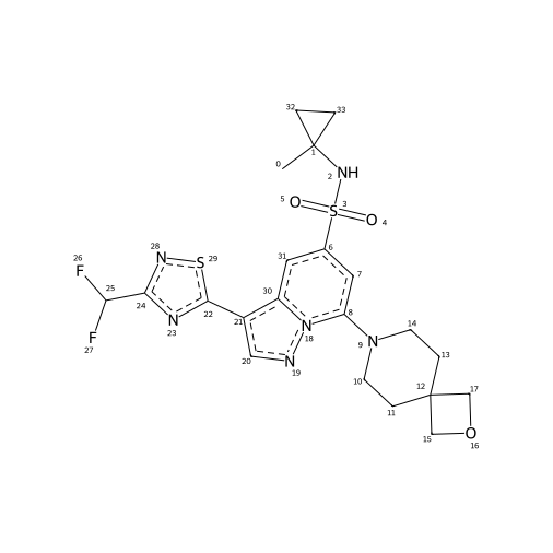 CC1(NS(=O)(=O)c2cc(N3CCC4(CC3)COC4)n3ncc(-c4nc(C(F)F)ns4)c3c2)CC1